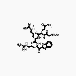 CC(=O)NCC(=O)N[C@@H](CCC(N)=O)C(=O)N[C@@H](CCCNC(=N)N)C(=O)N[C@@H](CCCNC(=N)N)C(=O)c1nc2ccccc2s1